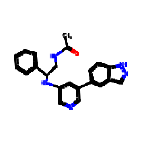 CC(=O)NC[C@@H](Nc1cncc(-c2ccc3[nH]ncc3c2)c1)c1ccccc1